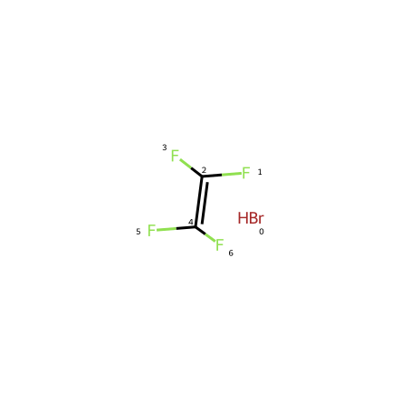 Br.FC(F)=C(F)F